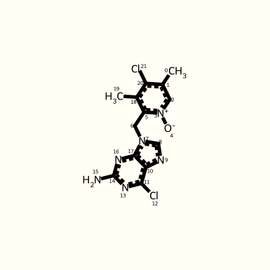 Cc1c[n+]([O-])c(Cn2cnc3c(Cl)nc(N)nc32)c(C)c1Cl